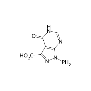 O=C(O)c1nn(P)c2nc[nH]c(=O)c12